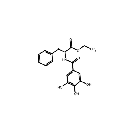 CCOC(=O)[C@H](Cc1ccccc1)NC(=O)c1cc(O)c(O)c(O)c1